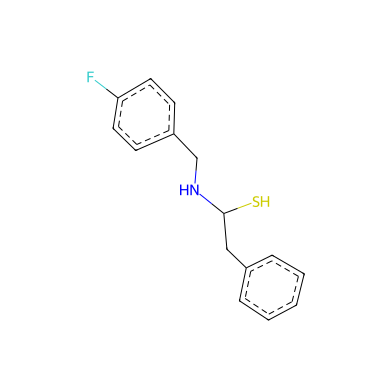 Fc1ccc(CNC(S)Cc2ccccc2)cc1